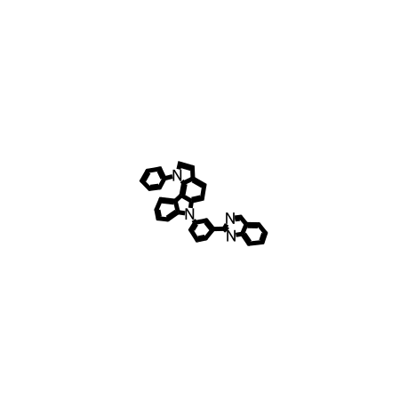 c1ccc(-n2ccc3ccc4c(c5ccccc5n4-c4cccc(-c5ncc6ccccc6n5)c4)c32)cc1